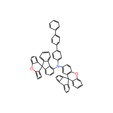 c1ccc(-c2ccc(-c3ccc(N(c4ccc5c(c4)C4(c6ccccc6O5)c5ccccc5-c5ccccc54)c4cccc5c4-c4ccccc4C54c5ccccc5Oc5ccccc54)cc3)cc2)cc1